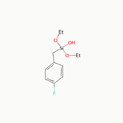 CCO[Si](O)(Cc1ccc(F)cc1)OCC